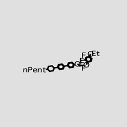 CCCCCC1CCC(c2ccc(-c3ccc(OCC(F)(F)Oc4ccc(OCC)c(F)c4F)cc3)cc2)CC1